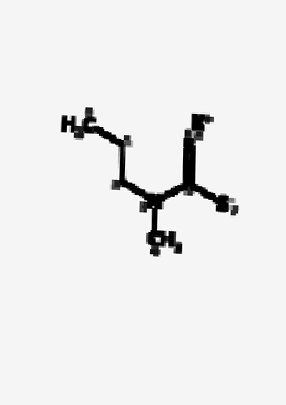 CCCN(C)C(=S)[S-].[K+]